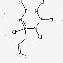 C=CCP1(Cl)=NP(Cl)N(Cl)P(Cl)N1Cl